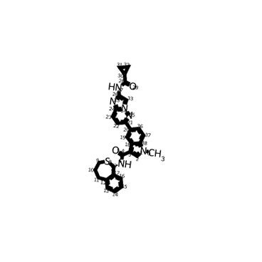 Cn1cc(C(=O)N[C@H]2SCCCc3ccccc32)c2cc(-c3ccc4nc(NC(=O)C5CC5)cn4n3)ccc21